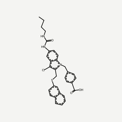 CCCCNC(=O)Nc1ccc2c(c1)c(Cl)c(CSc1ccc3ccccc3c1)n2Cc1ccc(C(=O)O)cc1